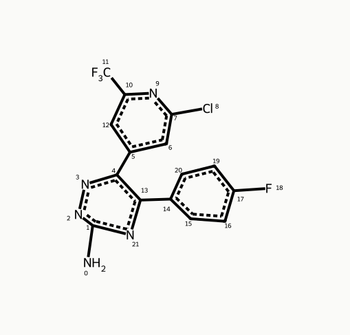 Nc1nnc(-c2cc(Cl)nc(C(F)(F)F)c2)c(-c2ccc(F)cc2)n1